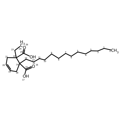 CCCCCCCCCCCCCCC1(C(=O)O)CC=CCC1(CC)C(=O)O